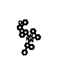 C1=CC(c2ccc(-c3nc(-c4ccccc4-c4ccccc4)nc(-c4ccc5c6c(cccc46)-c4ccc6oc7ccccc7c6c4-5)n3)c3ccccc23)=CCC1